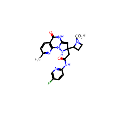 O=C(CC1(C2CCN2C(=O)O)C=C2NC(=O)c3ccc(C(F)(F)F)nc3N2N1)Nc1ccc(F)cn1